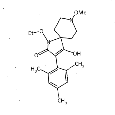 CCON1C(=O)C(c2c(C)cc(C)cc2C)=C(O)C12CCN(OC)CC2